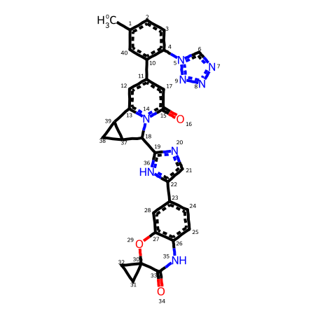 Cc1ccc(-n2cnnn2)c(-c2cc3n(c(=O)c2)C(c2ncc(-c4ccc5c(c4)OC4(CC4)C(=O)N5)[nH]2)C2CC32)c1